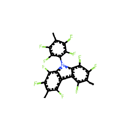 Cc1c(F)c(F)c(-n2c3c(F)c(F)c(C)c(F)c3c3c(F)c(C)c(F)c(F)c32)c(F)c1F